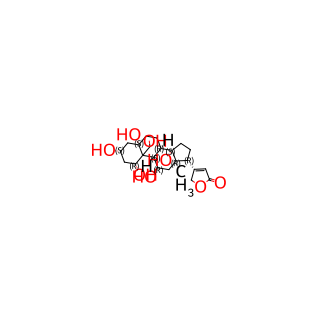 C[C@]12C[C@@H](O)[C@H]3[C@@H](CC[C@]4(O)C[C@@H](O)C[C@@H](O)C34CO)[C@@]1(O)CC[C@@H]2C1=CC(=O)OC1